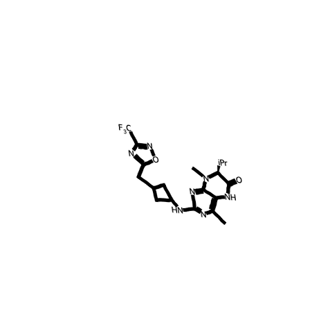 Cc1nc(NC2CC(Cc3nc(C(F)(F)F)no3)C2)nc2c1NC(=O)[C@H](C(C)C)N2C